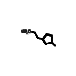 CC1CCC(CCC(=O)O)C1